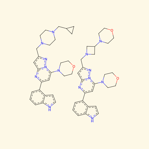 c1cc(-c2cc(N3CCOCC3)n3nc(CN4CC(N5CCOCC5)C4)cc3n2)c2cc[nH]c2c1.c1cc(-c2cc(N3CCOCC3)n3nc(CN4CCN(CC5CC5)CC4)cc3n2)c2cc[nH]c2c1